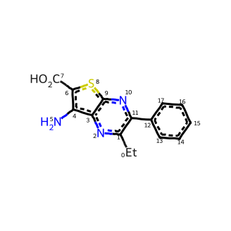 CCc1nc2c(N)c(C(=O)O)sc2nc1-c1ccccc1